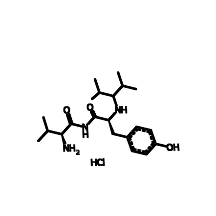 CC(C)C(N[C@@H](Cc1ccc(O)cc1)C(=O)NC(=O)[C@@H](N)C(C)C)C(C)C.Cl